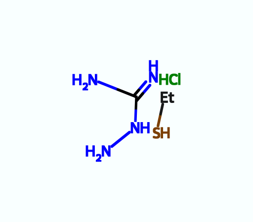 CCS.Cl.N=C(N)NN